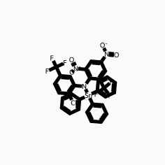 O=[N+]([O-])c1cc([N+](=O)[O-])c([N](c2cc(C(F)(F)F)ccc2Cl)[Sn]([c]2ccccc2)([c]2ccccc2)[c]2ccccc2)c(C(F)(F)F)c1